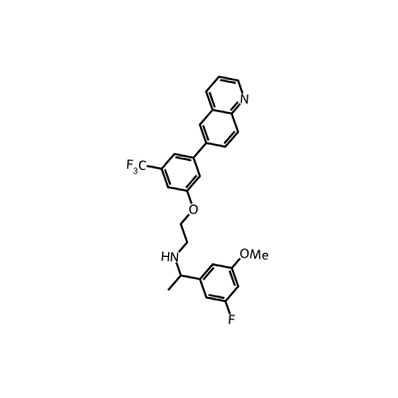 COc1cc(F)cc(C(C)NCCOc2cc(-c3ccc4ncccc4c3)cc(C(F)(F)F)c2)c1